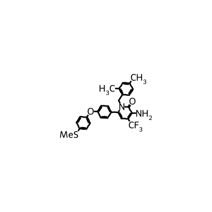 CSc1ccc(Oc2ccc(-c3cc(C(F)(F)F)c(N)c(=O)n3Cc3ccc(C)cc3C)cc2)cc1